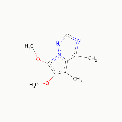 COc1c(C)c2c(C)ncnn2c1OC